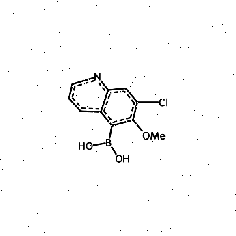 COc1c(Cl)cc2ncccc2c1B(O)O